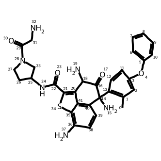 Cc1cc(Oc2ccccc2)ccc1C1(N)C(=O)C(N)c2c(C(=O)NC3CCN(C(=O)CN)C3)sc3c(N)ccc1c23